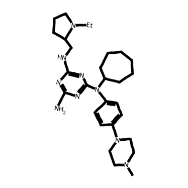 CCN1CCCC1CNc1nc(N)nc(N(c2ccc(N3CCN(C)CC3)cc2)C2CCCCCC2)n1